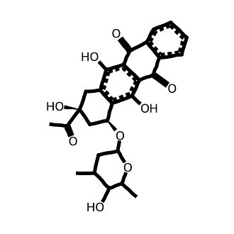 CC(=O)[C@]1(O)Cc2c(O)c3c(c(O)c2[C@@H](OC2CC(C)C(O)C(C)O2)C1)C(=O)c1ccccc1C3=O